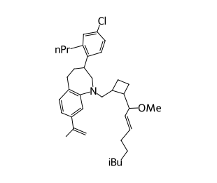 C=C(C)c1ccc2c(c1)N(CC1CCC1C(/C=C/CCC(C)CC)OC)CC(c1ccc(Cl)cc1CCC)CC2